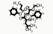 CCCP(=O)(Oc1ccccc1)N(C(=O)[C@@H](N)CC(C)C)[C@@H](Cc1ccccc1)C(=O)OCC